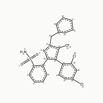 NS(=O)(=O)c1ccccc1-c1nn(Cc2ccccc2)c(C(F)(F)F)c1-c1ccc(Cl)cc1Cl